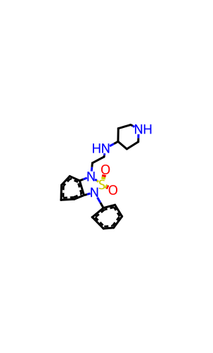 O=S1(=O)N(CCNC2CCNCC2)c2ccccc2N1c1ccccc1